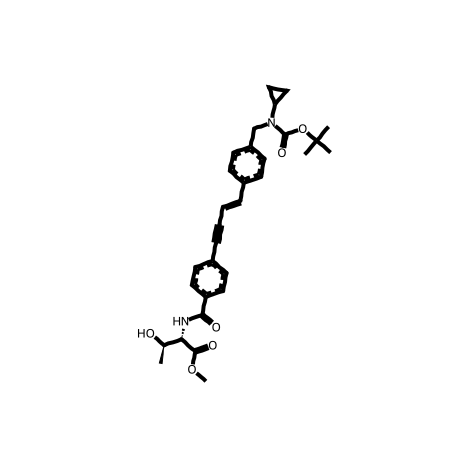 COC(=O)[C@@H](NC(=O)c1ccc(C#C/C=C/c2ccc(CN(C(=O)OC(C)(C)C)C3CC3)cc2)cc1)[C@@H](C)O